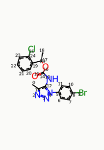 Cc1nnn(-c2ccc(Br)cc2)c1NC(=O)O[C@H](C)c1ccccc1Cl